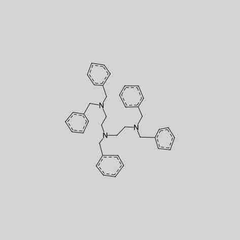 c1ccc(CN(CCN(Cc2ccccc2)Cc2ccccc2)CCN(Cc2ccccc2)Cc2ccccc2)cc1